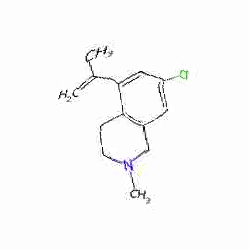 C=C(C)c1cc(Cl)cc2c1CCN(C)C2